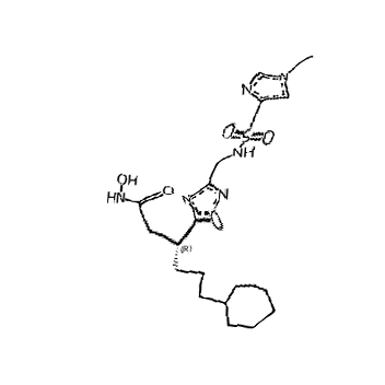 Cn1cnc(S(=O)(=O)NCc2noc([C@H](CCCC3CCCCC3)CC(=O)NO)n2)c1